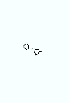 COc1cc(OC)c2n[13c](-c3ccccc3)oc2c1